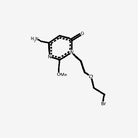 COc1nc(N)cc(=O)n1CCOCCBr